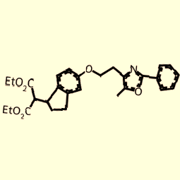 CCOC(=O)C(C(=O)OCC)C1CCc2cc(OCCc3nc(-c4ccccc4)oc3C)ccc21